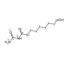 CCCCCCCCCCCCCCOC(=O)NC(N)=O